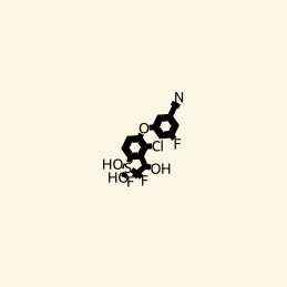 N#Cc1cc(F)cc(Oc2ccc3c(c2Cl)C(O)C(F)(F)S3(O)O)c1